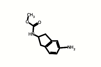 COC(=O)NC1Cc2ccc(N)cc2C1